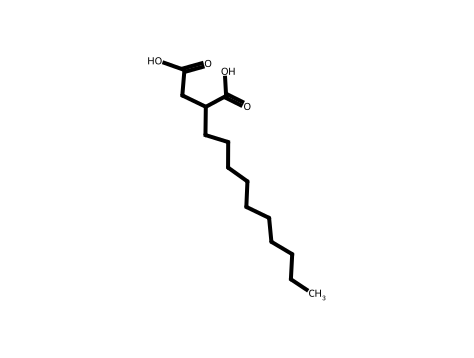 CCCCCCCCCCC(CC(=O)O)C(=O)O